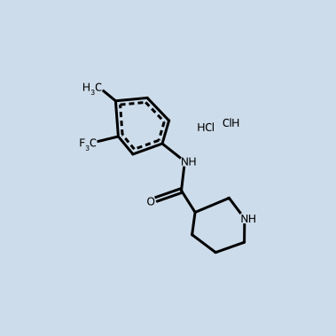 Cc1ccc(NC(=O)C2CCCNC2)cc1C(F)(F)F.Cl.Cl